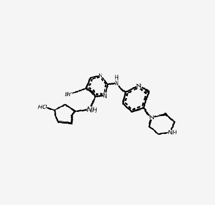 OC1CCC(Nc2nc(Nc3ccc(N4CCNCC4)cn3)ncc2Br)C1